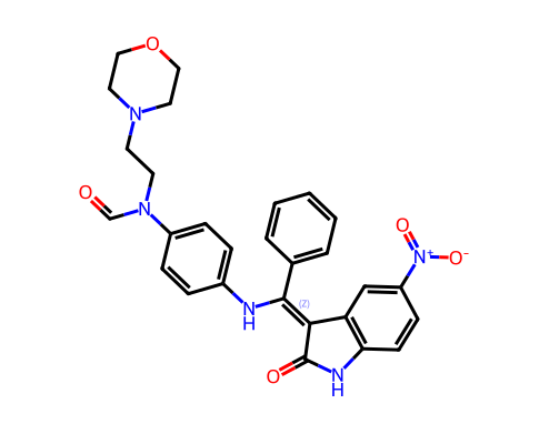 O=CN(CCN1CCOCC1)c1ccc(N/C(=C2\C(=O)Nc3ccc([N+](=O)[O-])cc32)c2ccccc2)cc1